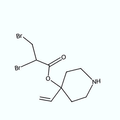 C=CC1(OC(=O)C(Br)CBr)CCNCC1